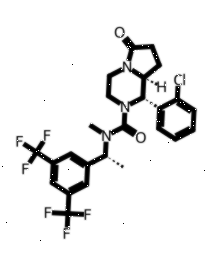 C[C@H](c1cc(C(F)(F)F)cc(C(F)(F)F)c1)N(C)C(=O)N1CCN2C(=O)CC[C@H]2[C@@H]1c1ccccc1Cl